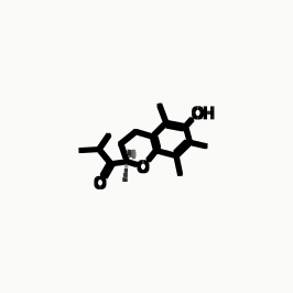 Cc1c(C)c2c(c(C)c1O)CC[C@](C)(C(=O)C(C)C)O2